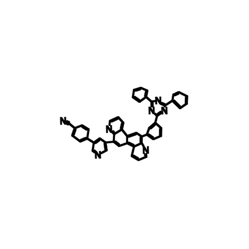 N#Cc1ccc(-c2cncc(-c3cc4c5cccnc5c(-c5cccc(-c6nc(-c7ccccc7)nc(-c7ccccc7)n6)c5)cc4c4cccnc34)c2)cc1